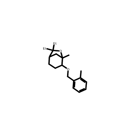 CCC1(CC)OC2(C)CC1CCC2OCc1ccccc1C